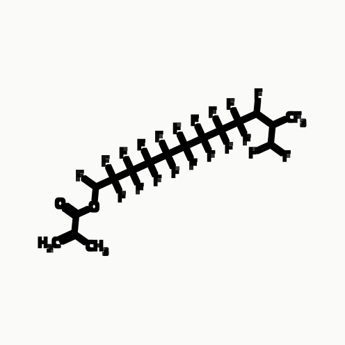 C=C(C)C(=O)OC(F)C(F)(F)C(F)(F)C(F)(F)C(F)(F)C(F)(F)C(F)(F)C(F)(F)C(F)(F)C(F)C(C(F)F)C(F)(F)F